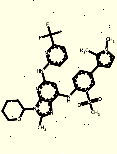 Cc1c(-c2ccc(Nc3cc(Nc4cccc(C(F)(F)F)n4)nc4c3nc(C)n4C3CCCCO3)c(S(C)(=O)=O)c2)ccn1C